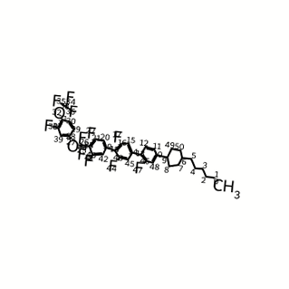 CCCCCCC1CCC(c2ccc(-c3cc(F)c(-c4cc(F)c(C(F)(F)Oc5ccc(OC(F)(F)F)c(F)c5)c(F)c4)c(F)c3)c(F)c2)CC1